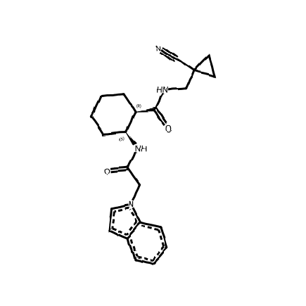 N#CC1(CNC(=O)[C@@H]2CCCC[C@@H]2NC(=O)Cn2ccc3ccccc32)CC1